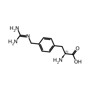 NC(N)=NCc1ccc(C[C@H](N)C(=O)O)cc1